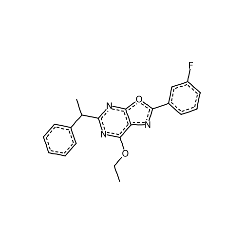 CCOc1nc(C(C)c2ccccc2)nc2oc(-c3cccc(F)c3)nc12